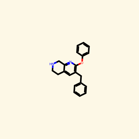 c1ccc(Cc2cc3c(nc2Oc2ccccc2)CNCC3)cc1